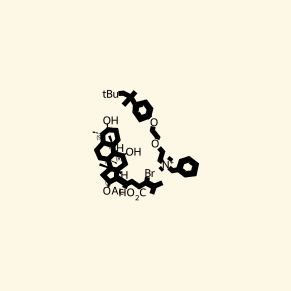 CC(=O)O[C@H]1C[C@@]2(C)[C@H](C[C@@H](O)[C@@H]3[C@@]4(C)CC[C@@H](O)[C@@H](C)C4CC[C@@]32C)C1=C(CCC(Br)=C(C)C)C(=O)O.CC(C)(C)CC(C)(C)c1ccc(OCCOCC[N+](C)(C)Cc2ccccc2)cc1